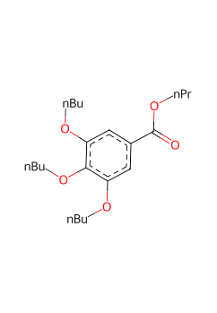 CCCCOc1cc(C(=O)OCCC)cc(OCCCC)c1OCCCC